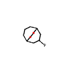 FC1CC2CCCCC(CCC2)C1